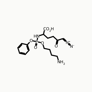 [N-]=[N+]=CC(=O)CCC(NP(=O)(OCCCCN)Oc1ccccc1)C(=O)O